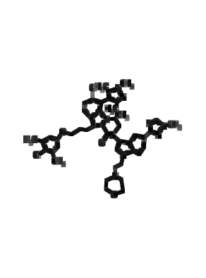 Cc1cc(OCCCc2c3n(c4c(-c5c(C)nn(C)c5C)c(Cl)ccc24)C(C)CN(c2cn(CCN4CCOCC4)c4ccc(-c5ncn(C)n5)cc24)C3=O)cc(C)c1Cl